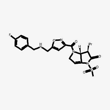 CC(C)[C@H]1C(=O)N(S(C)(=O)=O)C2=CCN(C(=O)c3cc(CNCc4ccc(F)cc4)on3)[C@@H]21